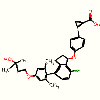 Cc1cc(OCCC(C)(C)O)cc(C)c1-c1ccc(F)c2c1CC[C@H]2Oc1ccc([C@H]2CC2C(=O)O)cc1